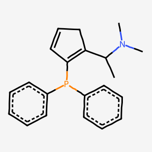 CC(C1=C(P(c2ccccc2)c2ccccc2)C=CC1)N(C)C